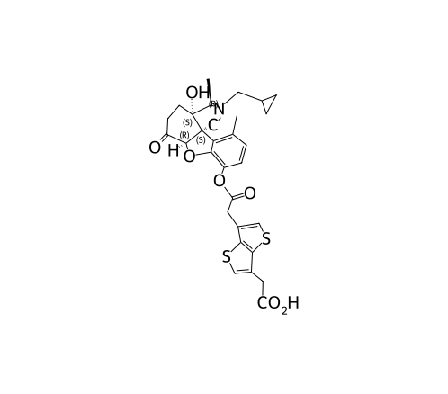 Cc1ccc(OC(=O)Cc2csc3c(CC(=O)O)csc23)c2c1[C@]13CCN(CC4CC4)[C@H](C)[C@]1(O)CCC(=O)[C@@H]3O2